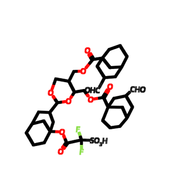 O=CC1CC2CCCC(C(=O)OCC3COC(C4CC5CCCC(OC(=O)C(F)(F)S(=O)(=O)O)(C5)C4)OC3COC(=O)C34CCCC(CC(C=O)C3)C4)(C1)C2